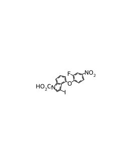 O=C(O)n1cc(I)c2c(Oc3ccc([N+](=O)[O-])cc3F)cccc21